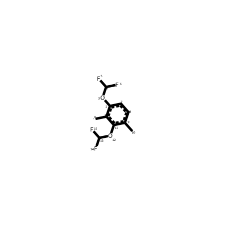 [CH2]c1c(OC(F)F)ccc(C)c1OC(F)F